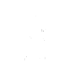 CC(C)c1nnc2n1C=CNC2O